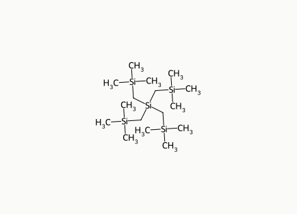 C[Si](C)(C)C[Si](C[Si](C)(C)C)(C[Si](C)(C)C)C[Si](C)(C)C